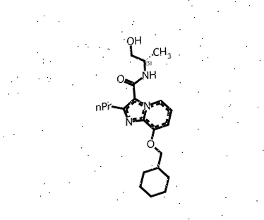 CCCc1nc2c(OCC3CCCCC3)cccn2c1C(=O)N[C@@H](C)CO